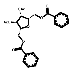 CC(=O)O[C@H]1[C@H](OC(C)=O)[C@@H](COC(=O)c2ccccc2)O[C@H]1COC(=O)c1ccccc1